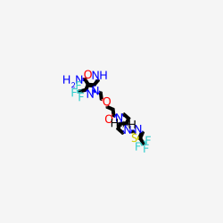 N=Cc1c(C(N)=O)c(C(F)(F)F)nn1CCOCCC(=O)N1CC[C@@H]2[C@H]1CCN2c1ncc(C(F)(F)F)s1